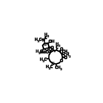 COC1(C)CC(C)CN(C)C(C)COC(=O)C(C)(C)C(=O)C(C)C1O[C@@H]1O[C@H](C)C[C@H](N(C)C)[C@H]1O